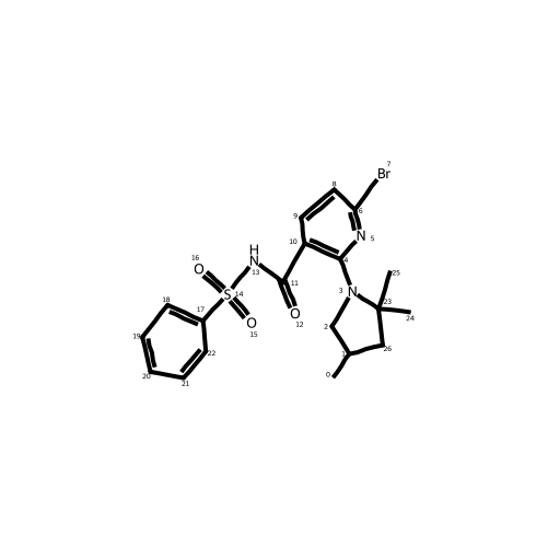 CC1CN(c2nc(Br)ccc2C(=O)NS(=O)(=O)c2ccccc2)C(C)(C)C1